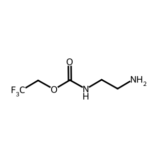 NCCNC(=O)OCC(F)(F)F